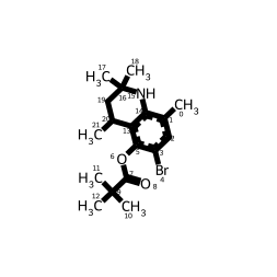 Cc1cc(Br)c(OC(=O)C(C)(C)C)c2c1NC(C)(C)CC2C